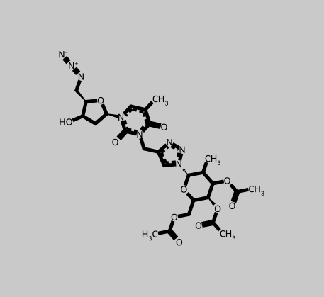 CC(=O)OCC1O[C@H](n2cc(Cn3c(=O)c(C)cn([C@H]4CC(O)[C@@H](CN=[N+]=[N-])O4)c3=O)nn2)C(C)C(OC(C)=O)[C@H]1OC(C)=O